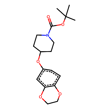 CC(C)(C)OC(=O)N1CCC(Oc2ccc3c(c2)OCCO3)CC1